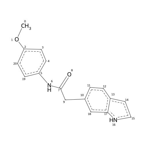 COc1ccc(NC(=O)Cc2ccc3cc[nH]c3c2)cc1